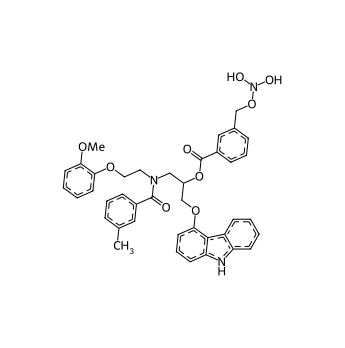 COc1ccccc1OCCN(CC(COc1cccc2[nH]c3ccccc3c12)OC(=O)c1cccc(CON(O)O)c1)C(=O)c1cccc(C)c1